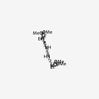 CCN(CCCCCCNCCCCCCNCCCCCCN(CC)c1ccc(OC)c(OC)c1)c1ccc(OC)c(OC)c1